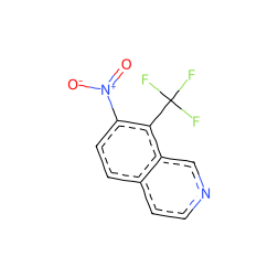 O=[N+]([O-])c1ccc2ccncc2c1C(F)(F)F